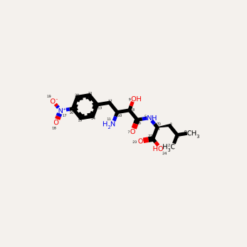 CC(C)C[C@H](NC(=O)C(O)C(N)Cc1ccc([N+](=O)[O-])cc1)C(=O)O